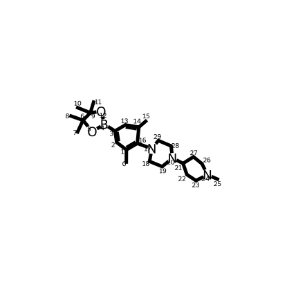 Cc1cc(B2OC(C)(C)C(C)(C)O2)cc(C)c1N1CCN(C2CCN(C)CC2)CC1